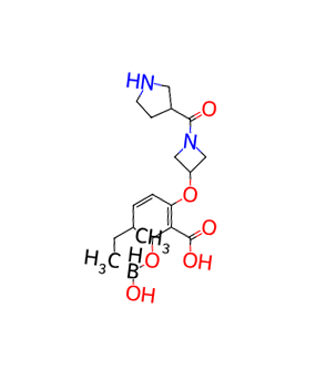 CCC(C)/C=C\C(OC1CN(C(=O)C2CCNC2)C1)=C(/COBO)C(=O)O